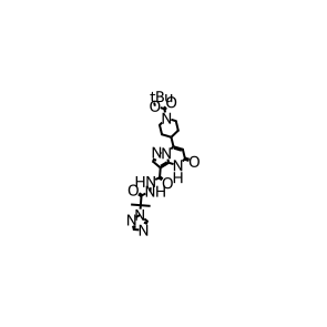 CC(C)(C)OC(=O)N1CCC(c2cc(=O)[nH]c3c(C(=O)NNC(=O)C(C)(C)n4cncn4)cnn23)CC1